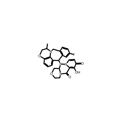 CC1COc2cccc3c2N1Cc1ccc(F)cc1C3N1C2COCCN2C(=O)c2c(O)c(=O)ccn21